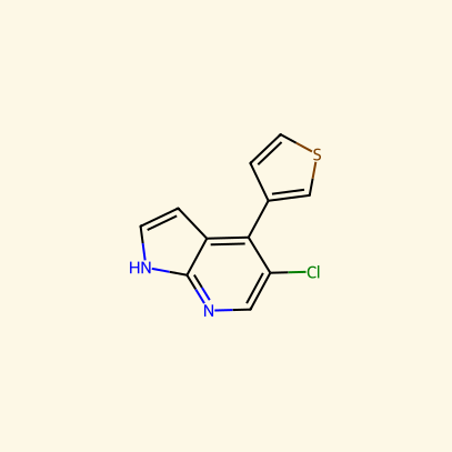 Clc1cnc2[nH]ccc2c1-c1ccsc1